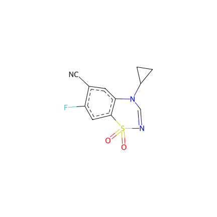 N#Cc1cc2c(cc1F)S(=O)(=O)N=CN2C1CC1